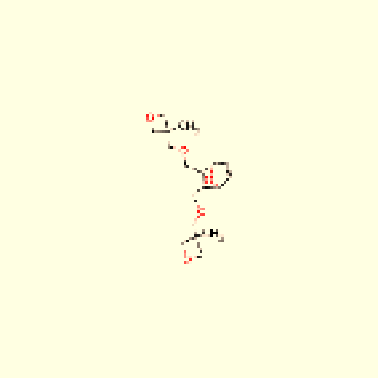 CC1(COCC2C3C=CC(O3)C2COCC2(C)COC2)COC1